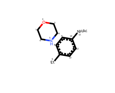 C1COCCN1.CCc1ccc(NC(C)=O)cc1